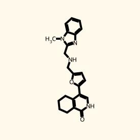 Cn1c(CNCc2ccc(-c3c[nH]c(=O)c4c3CCCC4)o2)nc2ccccc21